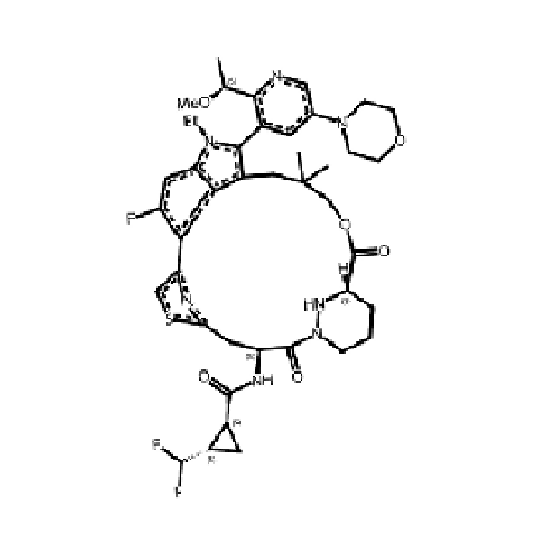 CCn1c(-c2cc(N3CCOCC3)cnc2[C@H](C)OC)c2c3cc(c(F)cc31)-c1csc(n1)C[C@H](NC(=O)[C@H]1C[C@@H]1C(F)F)C(=O)N1CCC[C@H](N1)C(=O)OCC(C)(C)C2